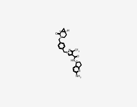 Nc1ccc2c(n1)CC[C@H]2NC(=O)c1cn(Cc2ccc(CN3CC[C@@H]4C[C@@H]4C3=O)cc2)nc1C(F)(F)F